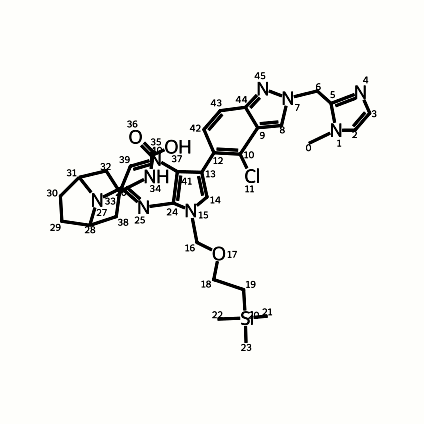 Cn1ccnc1Cn1cc2c(Cl)c(-c3cn(COCC[Si](C)(C)C)c4nc(N5C6CCC5CC(NC(=O)O)C6)cnc34)ccc2n1